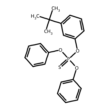 CC(C)(C)c1cccc(OP(=S)(Oc2ccccc2)Oc2ccccc2)c1